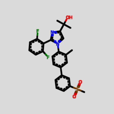 Cc1cc(-c2cccc(S(C)(=O)=O)c2)ccc1-n1cc(C(C)(C)O)nc1-c1c(F)cccc1F